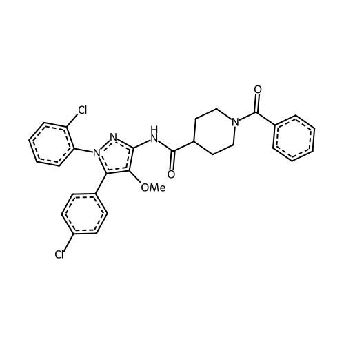 COc1c(NC(=O)C2CCN(C(=O)c3ccccc3)CC2)nn(-c2ccccc2Cl)c1-c1ccc(Cl)cc1